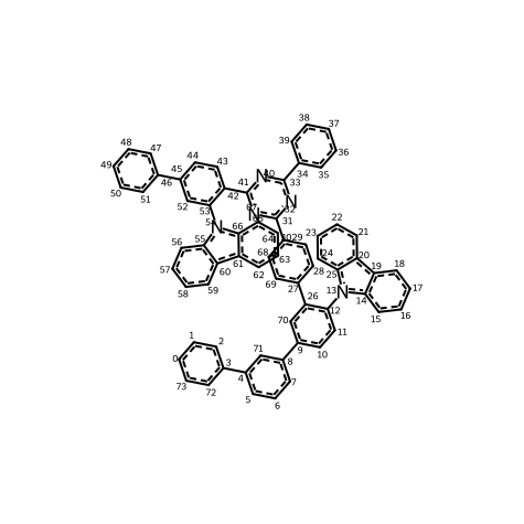 c1ccc(-c2cccc(-c3ccc(-n4c5ccccc5c5ccccc54)c(-c4ccc(-c5nc(-c6ccccc6)nc(-c6ccc(-c7ccccc7)cc6-n6c7ccccc7c7ccccc76)n5)cc4)c3)c2)cc1